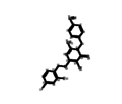 COc1ccc(Cn2c(C)nc(OCc3ccc(F)cc3F)c(Br)c2=O)cc1